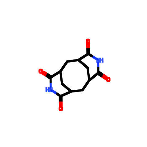 O=C1NC(=O)C2CC1CC1CC(C2)C(=O)NC1=O